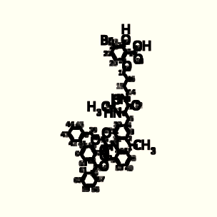 CCc1cc(CC(NC(C)=O)C(=O)NCCCCOc2ccc(Br)c(O)c2C(=O)O)ccc1N(C(=O)C(=O)OCc1ccccc1)c1ccccc1C(=O)OC(c1ccccc1)c1ccccc1